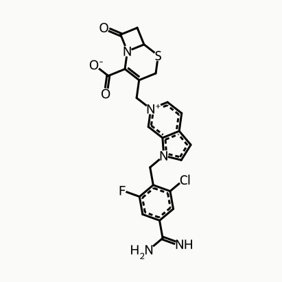 N=C(N)c1cc(F)c(Cn2ccc3cc[n+](CC4=C(C(=O)[O-])N5C(=O)CC5SC4)cc32)c(Cl)c1